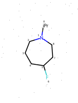 CC(C)N1CCCC(F)CC1